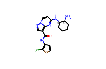 N[C@H]1CCCC[C@H]1Nc1ccn2ncc(C(=O)Nc3ccsc3Br)c2n1